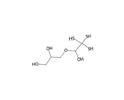 OCC(O)COC(O)C(S)(S)S